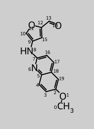 COc1ccc2nc(Nc3coc(C=O)c3)ccc2c1